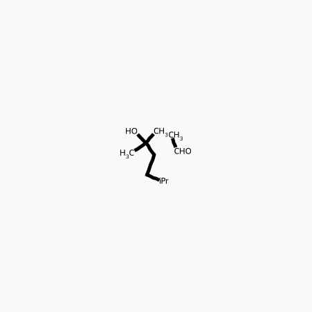 CC(C)CCC(C)(C)O.CC=O